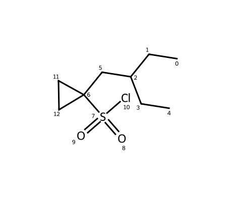 CCC(CC)CC1(S(=O)(=O)Cl)CC1